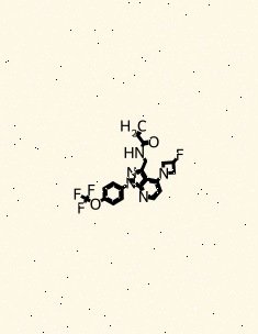 C=CC(=O)NCc1nn(-c2ccc(OC(F)(F)F)cc2)c2nccc(N3CC(F)C3)c12